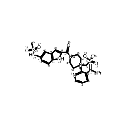 CC(C)Nc1cccnc1[N+]1(CS(=O)(=O)[O-])CCN(C(=O)c2cc3cc(NS(C)(=O)=O)ccc3[nH]2)CC1